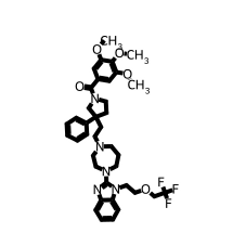 COc1cc(C(=O)N2CCC(CCN3CCCN(c4nc5ccccc5n4CCOCC(F)(F)F)CC3)(c3ccccc3)C2)cc(OC)c1OC